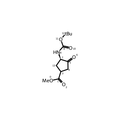 COC(=O)C1CC(=O)[C@H](NC(=O)OC(C)(C)C)C1